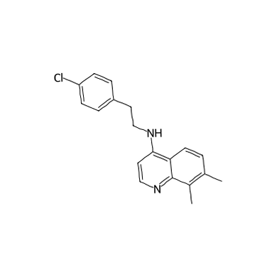 Cc1ccc2c(NCCc3ccc(Cl)cc3)ccnc2c1C